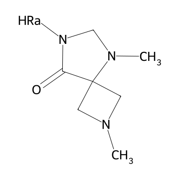 CN1CC2(C1)C(=O)[N]([RaH])CN2C